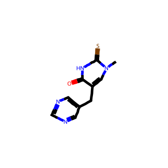 Cn1cc(Cc2cncnc2)c(=O)[nH]c1=S